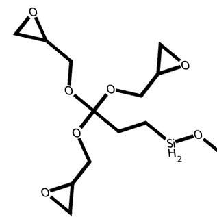 CO[SiH2]CCC(OCC1CO1)(OCC1CO1)OCC1CO1